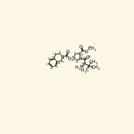 COC(=O)[C@@H]1C[C@@H](OC(=O)N2CCc3ccccc3C2)CN1C(=O)[C@@H](N)C(C)(C)C